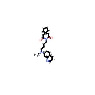 CN(CCCCN1C(=O)CC2(CCCC2)CC1=O)C1CCc2cccnc2C1